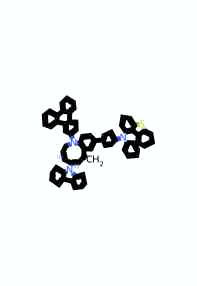 C=C1/C=C(n2c3ccccc3c3ccccc32)\C=C/CN(c2ccc3c4ccccc4c4ccccc4c3c2)c2ccc(-c3ccc(N(c4ccccc4)c4cccc5sc6ccccc6c45)cc3)cc21